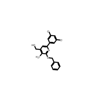 Cc1c(CO)cc(-c2cc(Cl)cc(Cl)c2)nc1OCc1ccccc1